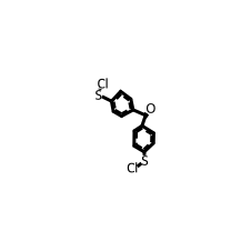 O=C(c1ccc(SCl)cc1)c1ccc(SCl)cc1